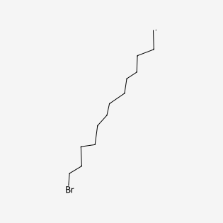 [CH2]CCCCCCCCCCCCBr